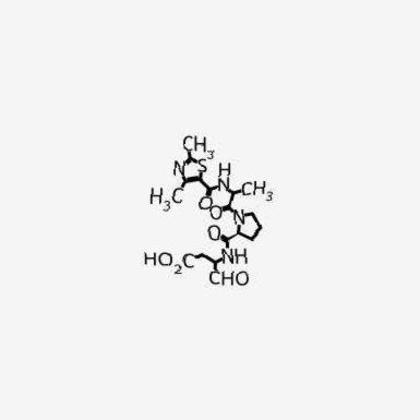 Cc1nc(C)c(C(=O)NC(C)C(=O)N2CCC[C@H]2C(=O)NC(C=O)CC(=O)O)s1